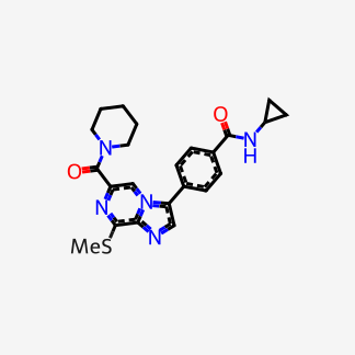 CSc1nc(C(=O)N2CCCCC2)cn2c(-c3ccc(C(=O)NC4CC4)cc3)cnc12